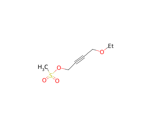 CCOCC#CCOS(C)(=O)=O